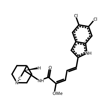 COC(=CC=Cc1cc2cc(Cl)c(Cl)cc2[nH]1)C(=O)N[C@@H]1CN2CCC1CC2